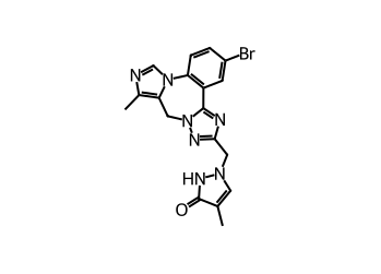 Cc1ncn2c1Cn1nc(Cn3cc(C)c(=O)[nH]3)nc1-c1cc(Br)ccc1-2